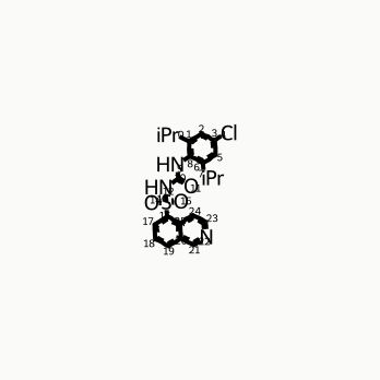 CC(C)c1cc(Cl)cc(C(C)C)c1NC(=O)NS(=O)(=O)c1cccc2cnccc12